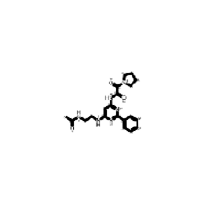 CC(=O)NCCNc1cc(NC(=O)C(=O)N2CCCC2)nc(-c2ccccc2)n1